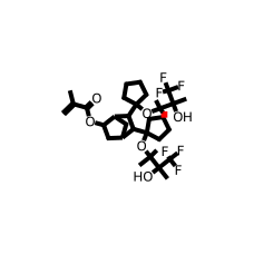 C=C(C)C(=O)OC1CC2CC1C(C1(OC(C)(C)C(C)(O)C(F)(F)F)CCCC1)C2C1(OC(C)(C)C(C)(O)C(F)(F)F)CCCC1